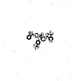 O=C(c1cnccc1C(F)(F)F)N1CCCC(Oc2ccc(C(F)(F)F)cc2)(C(=O)N2CCN(c3nsc4ccccc34)CC2)C1